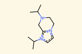 CC(C)N1CCn2cc[n+](C(C)C)c2C1